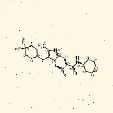 Cc1cn2c(CC3CCC(F)(F)CC3)c(C(F)(F)F)nc2cc1C(=O)NC1CCOCC1